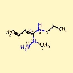 C=C/C=C(/NCCC)N(C)N